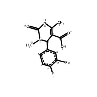 CC1=C(C(=O)O)C(c2ccc(F)c(F)c2)N(C)C(=O)N1